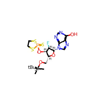 CC(C)(C)[Si](C)(C)OC[C@H]1O[C@@H](n2cnc3c(O)ncnc32)[C@H](F)[C@@H]1OP1(=S)SCCS1